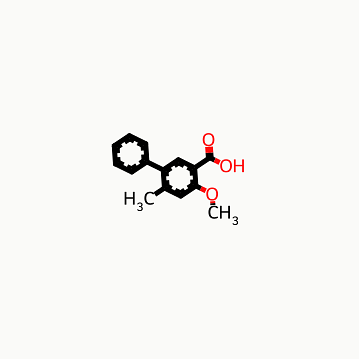 COc1cc(C)c(-c2ccccc2)cc1C(=O)O